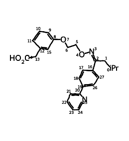 CC(C)CC(=NOCCOc1cccc(CC(=O)O)c1)c1ccc(-c2ccccn2)cc1